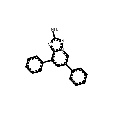 Nc1nc2c(-c3ccccc3)cc(-c3ccccc3)cn2n1